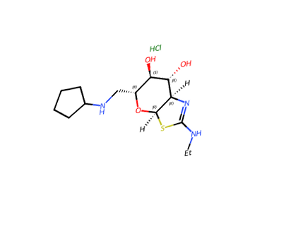 CCNC1=N[C@@H]2[C@@H](O)[C@H](O)[C@@H](CNC3CCCC3)O[C@@H]2S1.Cl